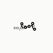 CCOC(=O)C(C)(Cc1ccccc1)Oc1ccc(-c2ccc(-c3c(Cc4ccccc4)oc4ccccc34)cc2)cc1